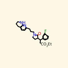 CCOC(=O)CC(c1cccc(F)c1)C1CCN(CCCc2ccc3c(n2)NCCC3)C1=O